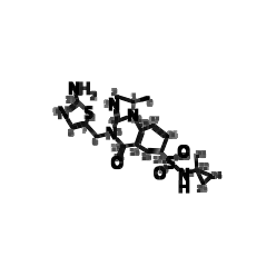 C[C@@H]1CN=C2N(Cc3cnc(N)s3)C(=O)c3cc(S(=O)(=O)NC4(C)CC4)ccc3N21